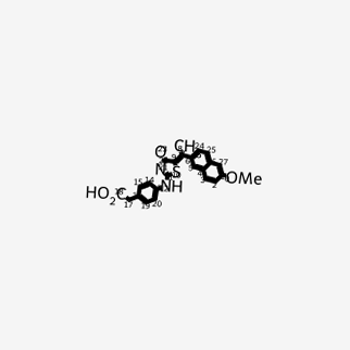 COc1ccc2cc(C(C)=C3SC(Nc4ccc(CC(=O)O)cc4)=NC3=O)ccc2c1